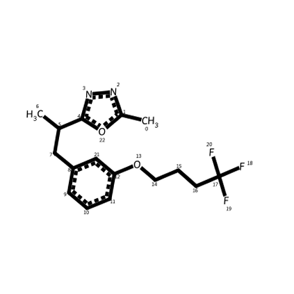 Cc1nnc(C(C)[CH]c2cccc(OCCCC(F)(F)F)c2)o1